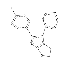 Fc1ccc(-c2nc3n(c2-c2ccccn2)CCS3)cc1